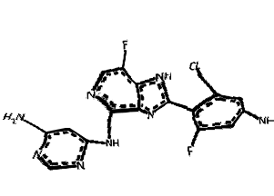 Nc1cc(F)c(-c2nc3c(Nc4cc(N)ncn4)ncc(F)c3[nH]2)c(Cl)c1